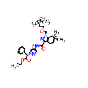 CCOC(=O)C(c1ccccc1)n1cc(NC(=O)c2nn(COCC[Si](C)(C)C)c3c2CCC(C)(C)C3)cn1